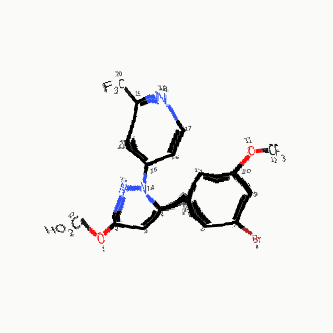 O=C(O)Oc1cc(-c2cc(Br)cc(OC(F)(F)F)c2)n(-c2ccnc(C(F)(F)F)c2)n1